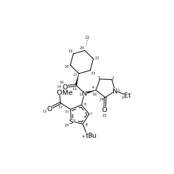 CCN1CC[C@H](N(c2cc(C(C)(C)C)sc2C(=O)OC)C(=O)[C@H]2CC[C@H](C)CC2)C1=O